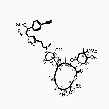 C#Cc1ccc([C@@H](OC)[C@@H](CF)n2cc(CCN(C)[C@H]3C[C@@H](C)O[C@@H](O[C@@H]4[C@@H](C)[C@H](O[C@H]5C[C@@](C)(OC)[C@@H](O)[C@H](C)O5)[C@@H](C)C(=O)O[C@H](CC)[C@@](C)(O)[C@H](O)[C@@H](C)N(C)C[C@H](C)C[C@@]4(C)O)[C@@H]3O)nn2)cc1